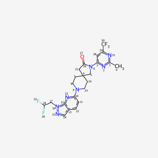 Cc1nc(N2CC3(CCN(c4ccc5cnn(CC(F)F)c5n4)CC3)CC2=O)cc(C(F)(F)F)n1